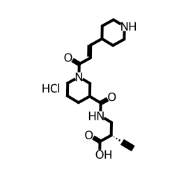 C#C[C@@H](CNC(=O)C1CCCN(C(=O)/C=C/C2CCNCC2)C1)C(=O)O.Cl